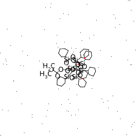 C=C(C)C(=O)OC[Si]12O[Si]3(C4CCCCC4)O[Si]4(C5CCCCC5)O[Si](C5CCCCC5)(O1)O[Si]1(C5CCCCC5)O[Si](C5CCCCC5)(O2)O[Si](C2CCCCC2)(O3)O[Si](C2CCCCC2)(O4)O1